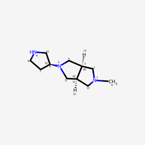 CN1C[C@@H]2CN([C@H]3CCNC3)C[C@@H]2C1